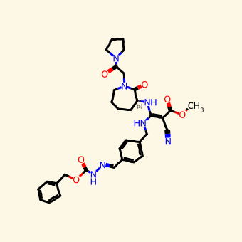 COC(=O)C(C#N)=C(NCc1ccc(C=NNC(=O)OCc2ccccc2)cc1)N[C@H]1CCCCN(CC(=O)N2CCCC2)C1=O